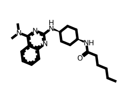 CCCCCC(=O)N[C@H]1CC[C@@H](Nc2nc(N(C)C)c3ccccc3n2)CC1